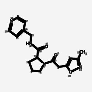 Cc1cc(CC(=O)N2CCCC2C(=O)NCc2ccncc2)on1